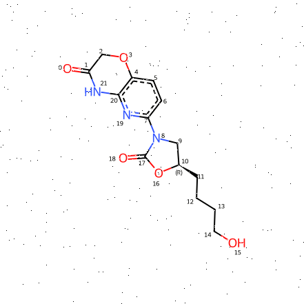 O=C1COc2ccc(N3C[C@@H](CCCCO)OC3=O)nc2N1